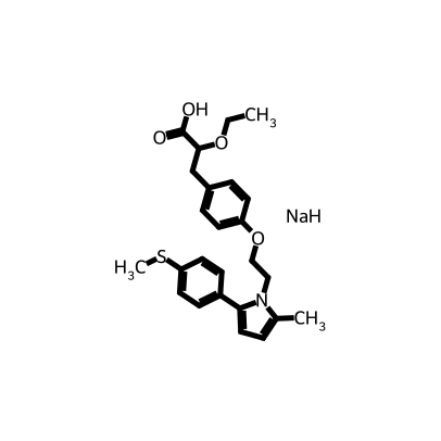 CCOC(Cc1ccc(OCCn2c(C)ccc2-c2ccc(SC)cc2)cc1)C(=O)O.[NaH]